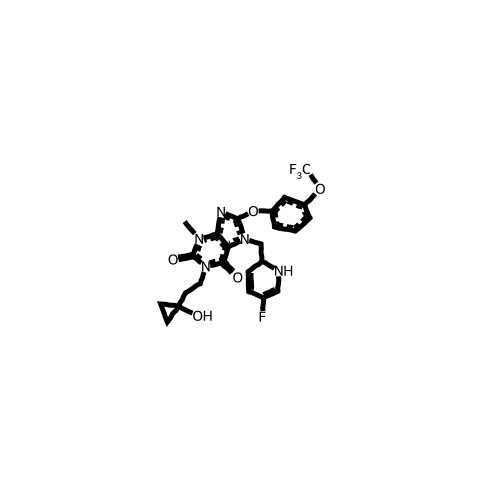 Cn1c(=O)n(CCC2(O)CC2)c(=O)c2c1nc(Oc1cccc(OC(F)(F)F)c1)n2CC1C=CC(F)=CN1